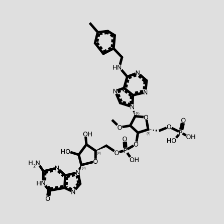 COC1C(OP(=O)(O)OC[C@H]2O[C@@H](n3cnc4c(=O)[nH]c(N)nc43)C(O)C2O)[C@@H](COP(=O)(O)O)O[C@H]1n1cnc2c(NCc3ccc(C)cc3)ncnc21